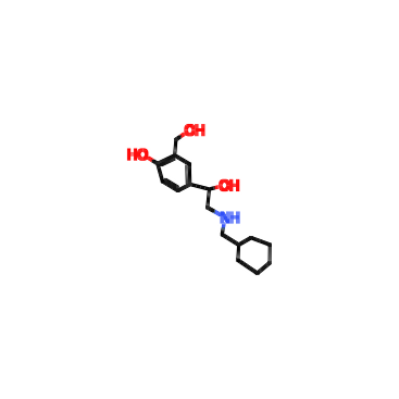 OCc1cc(C(O)CNCC2CCCCC2)ccc1O